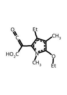 CCOc1c(C)c(CC)c(C(=C=O)C(=O)O)n1C